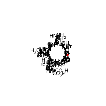 CCC(C)[C@H](NC(=O)[C@H](C)N)C(=O)N[C@H]1CSSC(C)(C)[C@@H](C(=O)N[C@H](C(=O)N2CCC[C@H]2C(=O)N[C@@H](CC(=O)O)C(=O)O)C(C)CC)NC(=O)[C@H]([C@@H](C)CC)NC(=O)[C@@H]2C[C@@H]3CCCC[C@@H]3N2C(=O)[C@H]2CCCN2C(=O)[C@H](CC(C)C)NC(=O)[C@H](CO)NC(=O)[C@H](CCCNC(=N)N)NC(=O)[C@H](CO)NC1=O